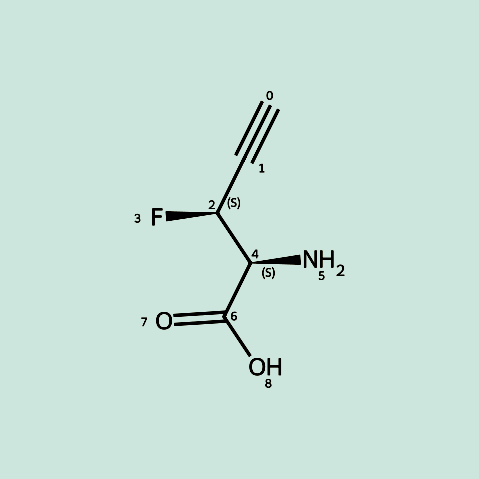 C#C[C@H](F)[C@@H](N)C(=O)O